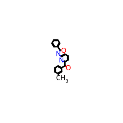 Cc1cccc(C(=O)c2ccc3oc(-c4ccccc4)nc3n2)c1